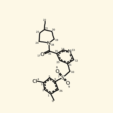 Cc1cc(Cl)cc(S(=O)(=O)Cc2cncc(C(=O)N3CCC(C)CC3)c2)c1